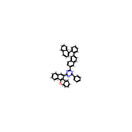 c1ccc(-c2nc(-c3ccc4cc(-c5ccccc5-c5cccc6ccccc56)ccc4c3)nc(-c3cc4ccccc4c4oc5ccccc5c34)n2)cc1